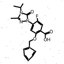 Cc1nn(-c2cc(OCc3ccccc3)c(C(=O)O)cc2F)c(=O)n1C(C)C